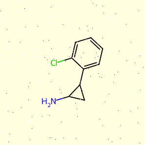 NC1CC1c1ccccc1Cl